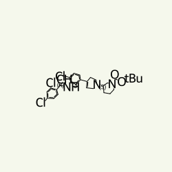 C[C@@H](Nc1cc(C2=CCN([C@H]3CCCN(C(=O)OC(C)(C)C)C3)CC2)ccc1Cl)c1ccc(Cl)cc1Cl